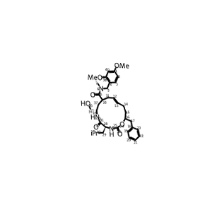 COc1ccc(CN(C)C(=O)C2C/C=C/CCC(Cc3ccccc3)OC(=O)N[C@@H](CC(C)C)C(=O)N[C@H](CO)C2)c(OC)c1